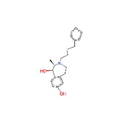 C[C@@H]1[C@H](O)c2ccc(O)cc2CCN1CCCCc1ccccc1